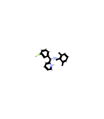 Cc1cccc(C)c1CN[C@@H](c1cccc(F)c1)c1ccccn1